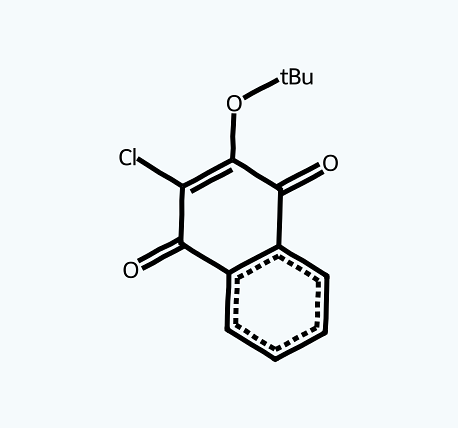 CC(C)(C)OC1=C(Cl)C(=O)c2ccccc2C1=O